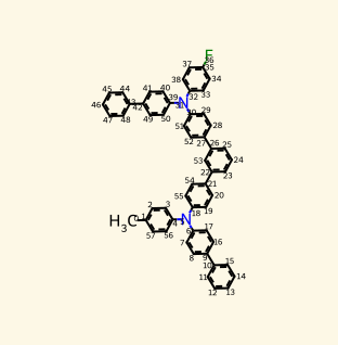 Cc1ccc(N(c2ccc(-c3ccccc3)cc2)c2ccc(-c3cccc(-c4ccc(N(c5ccc(F)cc5)c5ccc(-c6ccccc6)cc5)cc4)c3)cc2)cc1